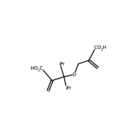 C=C(COC(C(=C)C(=O)O)(C(C)C)C(C)C)C(=O)O